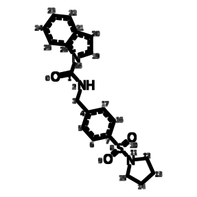 O=C(NCc1ccc(S(=O)(=O)N2CCCC2)cc1)n1ccc2ccccc21